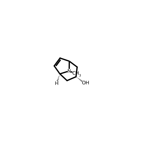 CN1C2C=C[C@@H]1C[C@@H](O)C2